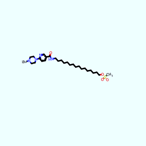 CCC(C)N1CCN(c2ccc(C(=O)NCCCCCCCCCCCCCCCCOS(C)(=O)=O)cn2)CC1